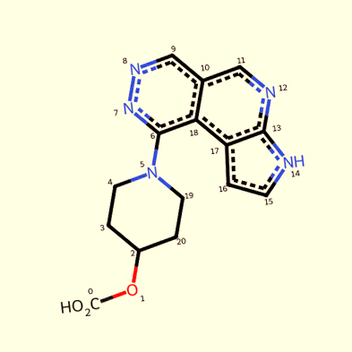 O=C(O)OC1CCN(c2nncc3cnc4[nH]ccc4c23)CC1